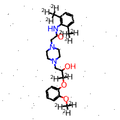 [2H]C([2H])([2H])Oc1ccccc1OC([2H])([2H])C(O)CN1CCN(CC(=O)Nc2c(C([2H])([2H])[2H])cccc2C([2H])([2H])[2H])CC1